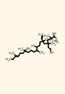 C=CC(C)(CCC(S)C(C)CCCC(C)(S)CC/C=C(\C)CC)CC(C)(CCS)CC(C)(C)C(C)S